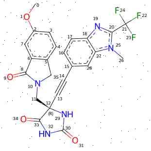 COc1ccc2c(c1)C(=O)N(C[C@@]1(C#Cc3ccc4nc(C(F)(F)F)n(C)c4c3)NC(=O)NC1=O)C2